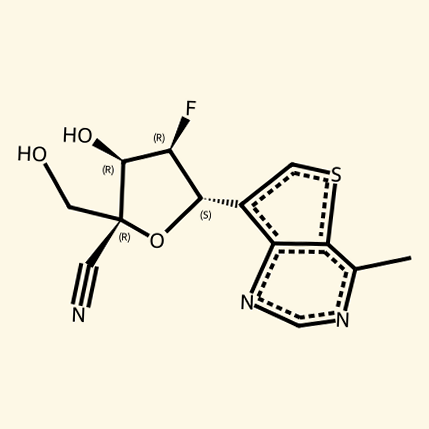 Cc1ncnc2c([C@@H]3O[C@](C#N)(CO)[C@@H](O)[C@H]3F)csc12